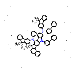 CC1(C)c2ccccc2-c2cc(N(c3cccc(-c4ccccc4)c3)c3ccc4c5c(N(c6ccccc6)c6ccc7c(c6)-c6ccccc6C7(C)C)c6c(cc5n(-c5cccc(-c7ccccc7)c5)c4c3)-c3c(ccc4ccccc34)C6(C)C)ccc21